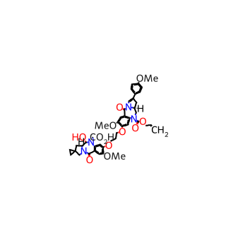 C=CCOC(=O)N1C[C@@H]2CC(c3ccc(OC)cc3)=CN2C(=O)c2cc(OC)c(OCCCOc3cc4c(cc3OC)C(=O)N3CC5(CC5)C[C@H]3C(O)N4C(=O)O)cc21